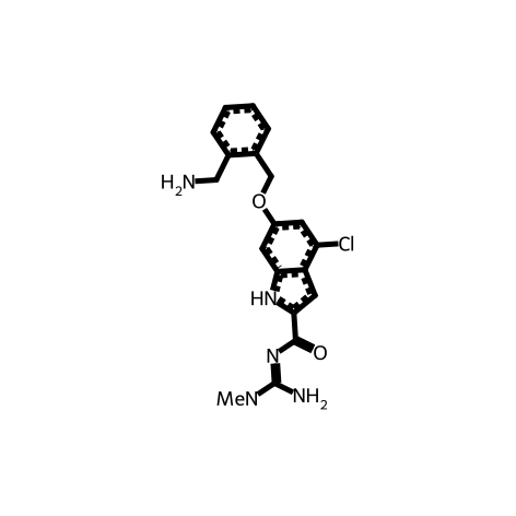 CNC(N)=NC(=O)c1cc2c(Cl)cc(OCc3ccccc3CN)cc2[nH]1